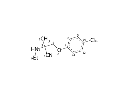 CCNC(C)(C#N)COc1ccc(Cl)cc1